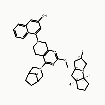 Oc1cc(N2CCc3c(nc(OC[C@]45C[C@@H](F)CN4[C@H]4CCC[C@H]4C5)nc3N3CC4CCC(C3)N4)C2)c2ccccc2c1